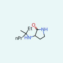 CCCC(C)(CC)NC1CCNC1=O